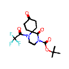 CC(C)(C)OC(=O)N1CCN(C(=O)C(F)(F)F)C2(CCC(=O)CC2)C1=O